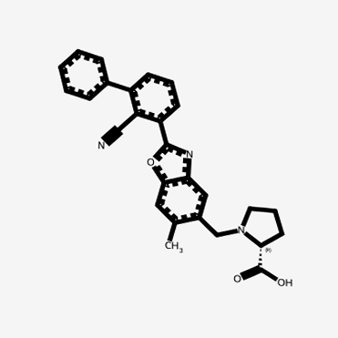 Cc1cc2oc(-c3cccc(-c4ccccc4)c3C#N)nc2cc1CN1CCC[C@@H]1C(=O)O